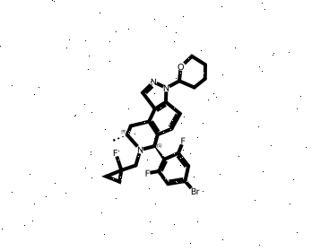 C[C@@H]1Cc2c(ccc3c2cnn3C2CCCCO2)[C@@H](c2c(F)cc(Br)cc2F)N1CC1(F)CC1